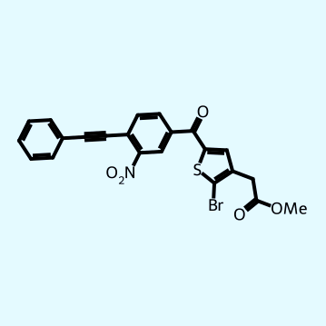 COC(=O)Cc1cc(C(=O)c2ccc(C#Cc3ccccc3)c([N+](=O)[O-])c2)sc1Br